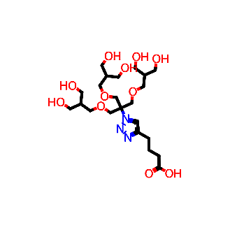 O=C(O)CCCc1cn(C(COCC(CO)CO)(COCC(CO)CO)COCC(CO)CO)nn1